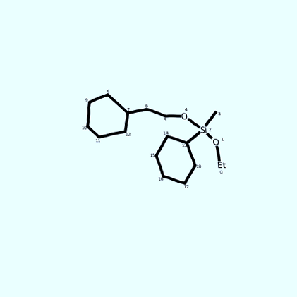 CCO[Si](C)(OCCC1CCCCC1)C1CCCCC1